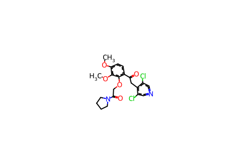 COc1ccc(C(=O)Cc2c(Cl)cncc2Cl)c(OCC(=O)N2CCCC2)c1OC